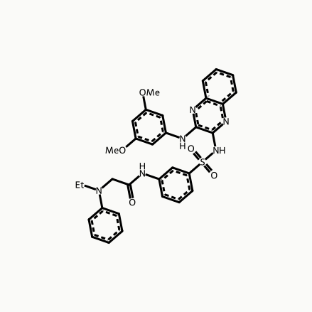 CCN(CC(=O)Nc1cccc(S(=O)(=O)Nc2nc3ccccc3nc2Nc2cc(OC)cc(OC)c2)c1)c1ccccc1